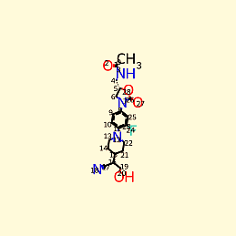 CC(=O)NC[C@H]1CN(c2ccc(N3CCC(C(C#N)CO)CC3)c(F)c2)C(=O)O1